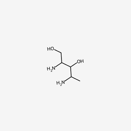 CC(N)C(O)C(N)CO